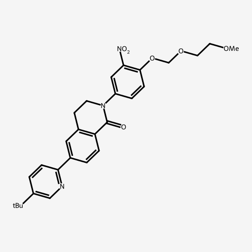 COCCOCOc1ccc(N2CCc3cc(-c4ccc(C(C)(C)C)cn4)ccc3C2=O)cc1[N+](=O)[O-]